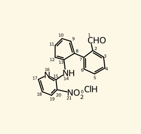 Cl.O=Cc1ccccc1-c1ccccc1Nc1ncccc1[N+](=O)[O-]